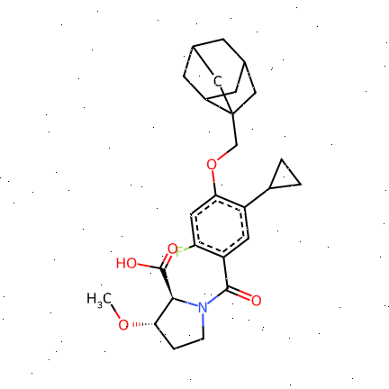 CO[C@H]1CCN(C(=O)c2cc(C3CC3)c(OCC34CC5CC(CC3C5)C4)cc2F)[C@@H]1C(=O)O